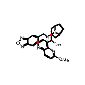 COc1ccc2nccc(C(O)CN3C4CCC3CC(NCc3ccc5nonc5c3)C4)c2n1